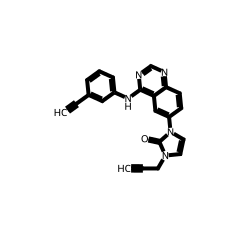 C#CCn1ccn(-c2ccc3ncnc(Nc4cccc(C#C)c4)c3c2)c1=O